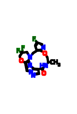 C[C@@H]1COc2ncc(F)cc2CN2CC(F)(F)COc3cn4ncc(c4nc32)C(=O)N1